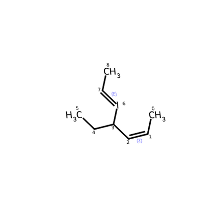 C/C=C\C(CC)/I=C/C